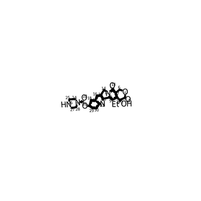 CC[C@@]1(O)C(=O)OCc2c1cc1n(c2=O)Cc2cc3cc(OC(=O)N4CCNCC4)ccc3nc2-1